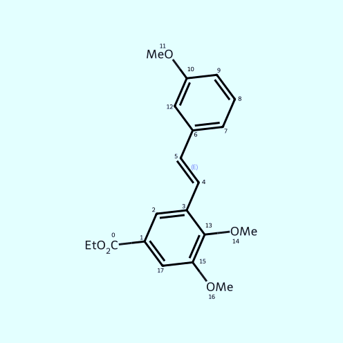 CCOC(=O)c1cc(/C=C/c2cccc(OC)c2)c(OC)c(OC)c1